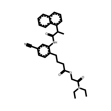 CCN(CC)C(=O)COC(=O)CCCc1ccc(C#N)cc1NC(=O)C(C)c1cccc2ccccc12